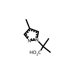 Cc1cnn(C(C)(C)C(=O)O)c1